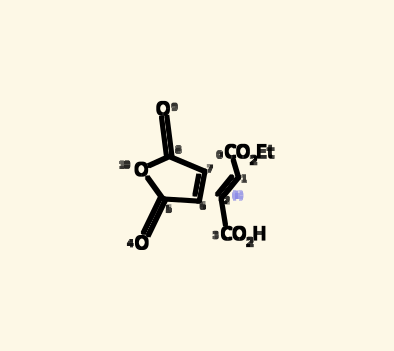 CCOC(=O)/C=C/C(=O)O.O=C1C=CC(=O)O1